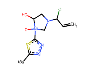 C=CC(Cl)N1CC(O)[N+]([O-])(c2nnc(C(C)(C)C)s2)C1